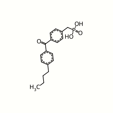 CCCCc1ccc(C(=O)c2ccc(CP(=O)(O)O)cc2)cc1